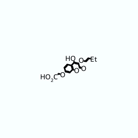 CCC=COc1c(O)c2ccc(OCC(=O)O)cc2oc1=O